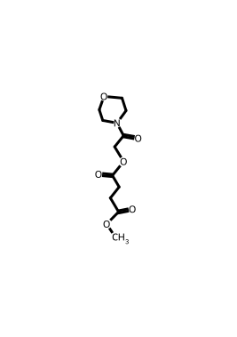 COC(=O)CCC(=O)OCC(=O)N1CCOCC1